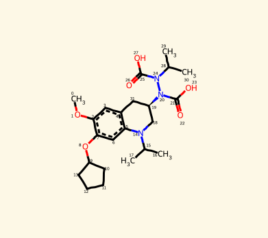 COc1cc2c(cc1OC1CCCC1)N(C(C)C)C[C@H](N(C(=O)O)N(C(=O)O)C(C)C)C2